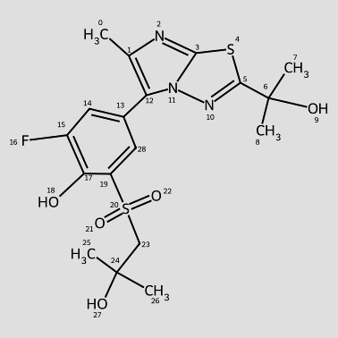 Cc1nc2sc(C(C)(C)O)nn2c1-c1cc(F)c(O)c(S(=O)(=O)CC(C)(C)O)c1